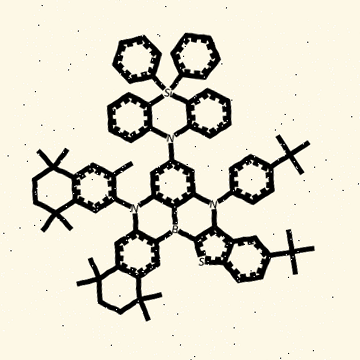 Cc1cc2c(cc1N1c3cc4c(cc3B3c5sc6ccc(C(C)(C)C)cc6c5N(c5ccc(C(C)(C)C)cc5)c5cc(N6c7ccccc7[Si](c7ccccc7)(c7ccccc7)c7ccccc76)cc1c53)C(C)(C)CCC4(C)C)C(C)(C)CCC2(C)C